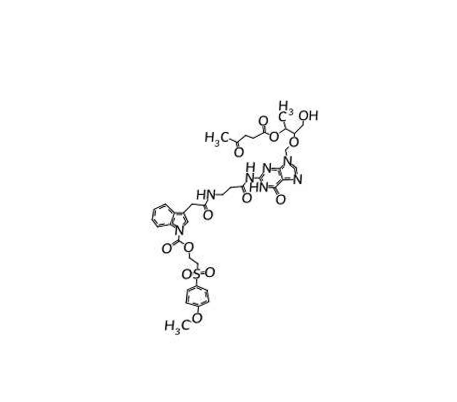 COc1ccc(S(=O)(=O)CCOC(=O)n2cc(CC(=O)NCCC(=O)Nc3nc4c(ncn4COC(CO)C(C)OC(=O)CCC(C)=O)c(=O)[nH]3)c3ccccc32)cc1